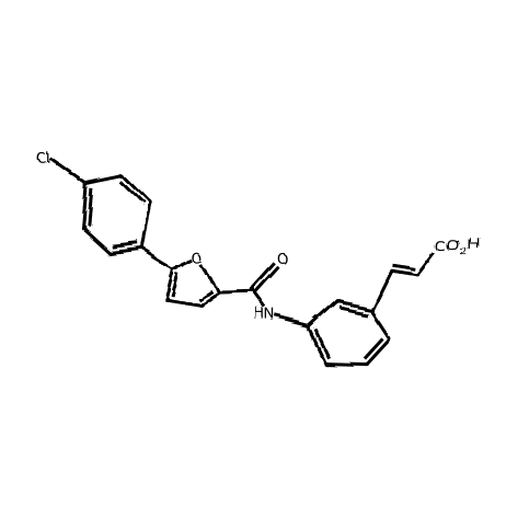 O=C(O)C=Cc1cccc(NC(=O)c2ccc(-c3ccc(Cl)cc3)o2)c1